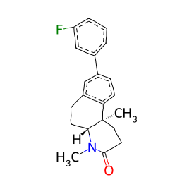 CN1C(=O)CC[C@]2(C)c3ccc(-c4cccc(F)c4)cc3CC[C@@H]12